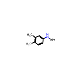 CCCNc1ccc(C)c(C)c1